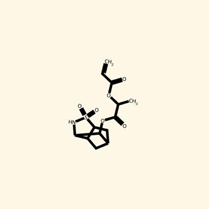 C=CC(=O)OC(C)C(=O)OC1C2CC3C1NS(=O)(=O)C3C2